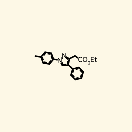 CCOC(=O)Cc1nn(-c2ccc(C)cc2)cc1-c1ccccc1